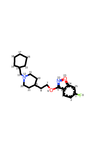 Fc1ccc2c(OCCC3CCN(CC4CCCCC4)CC3)noc2c1